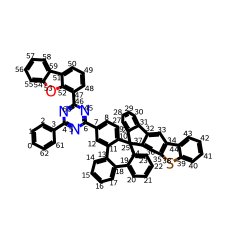 c1ccc(-c2nc(-c3ccc4c(c3)-c3ccccc3-c3ccccc3C43c4ccccc4-c4cc5c(cc43)sc3ccccc35)nc(-c3cccc4c3oc3ccccc34)n2)cc1